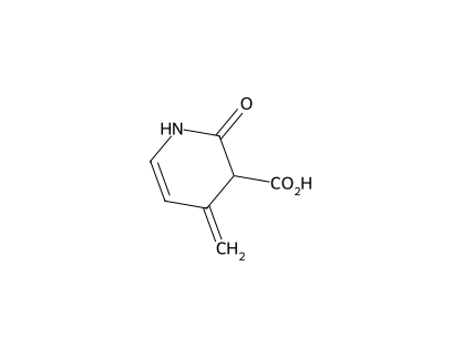 C=C1C=CNC(=O)C1C(=O)O